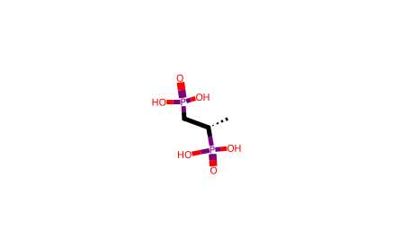 C[C@@H](CP(=O)(O)O)P(=O)(O)O